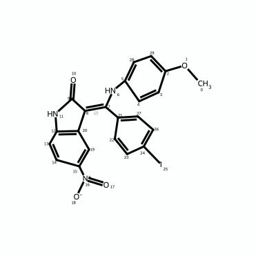 COc1ccc(N/C(=C2\C(=O)Nc3ccc([N+](=O)[O-])cc32)c2ccc(I)cc2)cc1